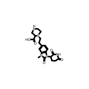 Cn1c(=O)n(C2CCC(=O)NC2=O)c2ccc(CCN3CCNCC3C(=O)O)cc21